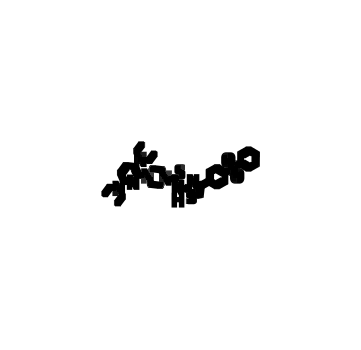 CCN(CC)c1ccc(N(CC)CC)c(N2CCN(C(=S)Nc3nc(-c4ccc(S(=O)(=O)c5ccccc5)cc4)cs3)CC2)n1